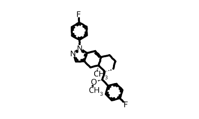 CO[C@@H](c1ccc(F)cc1)[C@H]1CCCC2=Cc3c(cnn3-c3ccc(F)cc3)C[C@@]21C